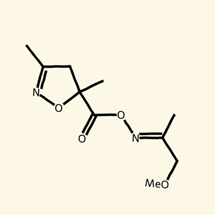 COC/C(C)=N/OC(=O)C1(C)CC(C)=NO1